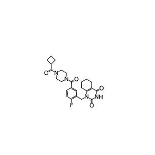 O=C(c1ccc(F)c(Cn2c3c(c(=O)[nH]c2=O)CCCC3)c1)N1CCN(C(=O)C2CCC2)CC1